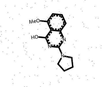 COc1cccc2nc(N3CCCC3)nc(O)c12